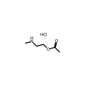 CNCCOC(C)=O.Cl